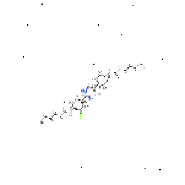 CCCCCCCCc1ccc(-c2cnc(-c3ccc(CCCCCCC)c(F)c3)nc2)cc1